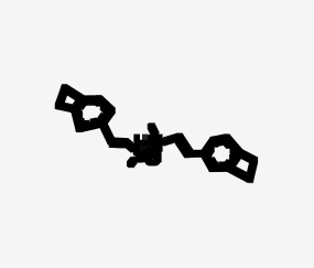 C[SiH](C=Cc1ccc2c(c1)CC2)O[SiH](C)C=Cc1ccc2c(c1)CC2